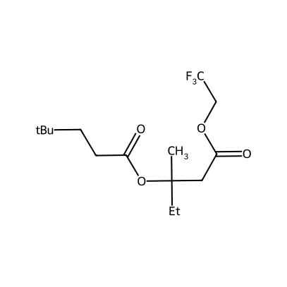 CCC(C)(CC(=O)OCC(F)(F)F)OC(=O)CCC(C)(C)C